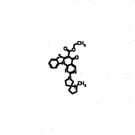 CCOC(=O)c1c(=O)c2cnc(N3CCC4(CCCN4C)C3)nc2n2c1sc1ccccc12